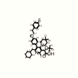 Cc1nc(CC2CCCCC2)c(-c2ccc(OCCc3ccc(F)cc3)cc2)c(N2CCC(C)(C)CC2)c1[C@H](OC(C)(C)C)C(=O)O